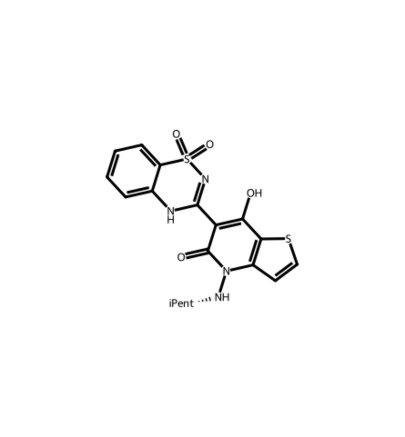 CCC[C@@H](C)Nn1c(=O)c(C2=NS(=O)(=O)c3ccccc3N2)c(O)c2sccc21